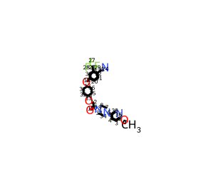 COc1ccc(N2CCN(C(=O)CO[C@H]3CC[C@H](Oc4ccc(C#N)c(C(F)(F)F)c4)CC3)CC2)cn1